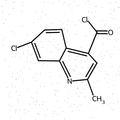 Cc1cc(C(=O)Cl)c2ccc(Cl)cc2n1